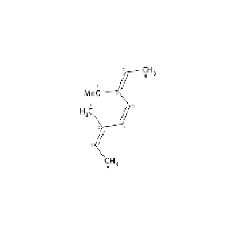 C\C=C(C)/C=C\C(=C/C)OC